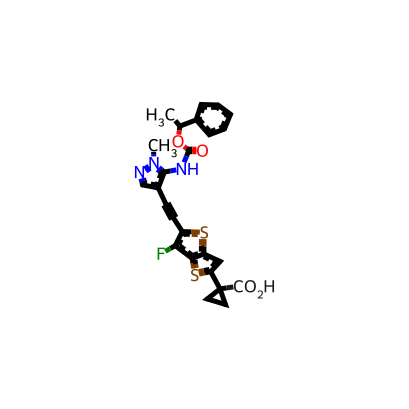 CC(OC(=O)Nc1c(C#Cc2sc3cc(C4(C(=O)O)CC4)sc3c2F)cnn1C)c1ccccc1